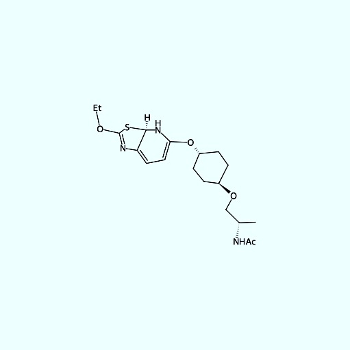 CCOC1=NC2=CC=C(O[C@H]3CC[C@H](OC[C@H](C)NC(C)=O)CC3)N[C@@H]2S1